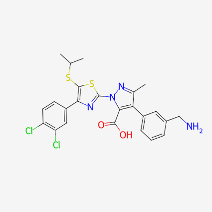 Cc1nn(-c2nc(-c3ccc(Cl)c(Cl)c3)c(SC(C)C)s2)c(C(=O)O)c1-c1cccc(CN)c1